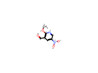 COc1ncc([N+](=O)[O-])cc1C=O